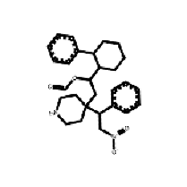 O=COC(CC1(C(C[N+](=O)[O-])c2ccccc2)CCNCC1)C1CCCCC1c1ccccc1